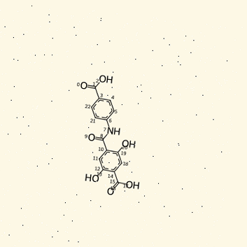 O=C(O)c1ccc(NC(=O)c2cc(O)c(C(=O)O)cc2O)cc1